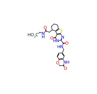 O=C(O)CNC(=O)CC1CCCc2sc3nc(C(=O)NCc4ccc5c(c4)NC(=O)CO5)[nH]c(=O)c3c21